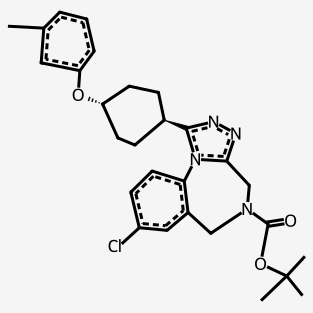 Cc1cccc(O[C@H]2CC[C@H](c3nnc4n3-c3ccc(Cl)cc3CN(C(=O)OC(C)(C)C)C4)CC2)c1